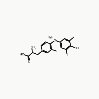 N[C@@H](Cc1ccc(Oc2cc(I)c(O)c(I)c2)c(I)c1)C(=O)O.[NaH]